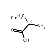 C[C@H](N)C(=O)O.[Co]